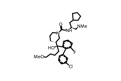 CNC[C@H](CC1CCCC1)NC(=O)N1CCC[C@@H]([C@@](O)(CCCCOC)c2cccc(F)c2-c2cccc(Cl)c2)C1